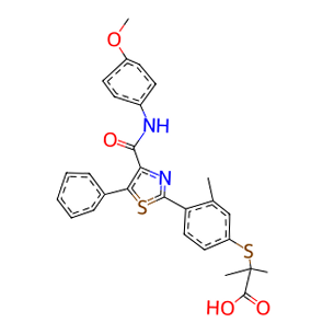 COc1ccc(NC(=O)c2nc(-c3ccc(SC(C)(C)C(=O)O)cc3C)sc2-c2ccccc2)cc1